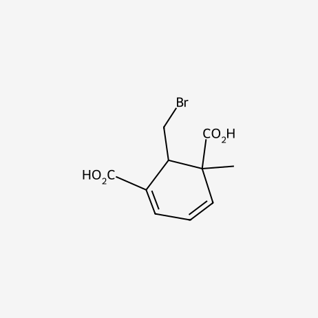 CC1(C(=O)O)C=CC=C(C(=O)O)C1CBr